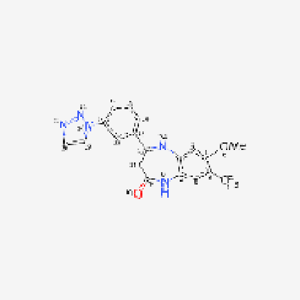 COc1cc2c(cc1C(F)(F)F)NC(=O)CC(c1cccc(-n3ccnn3)c1)=N2